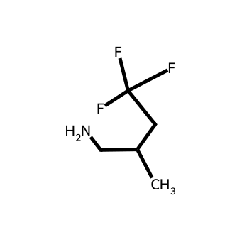 CC(CN)CC(F)(F)F